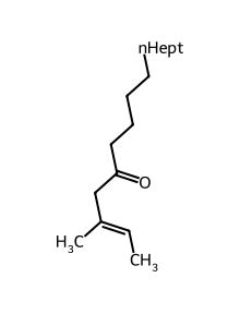 CC=C(C)CC(=O)CCCCCCCCCCC